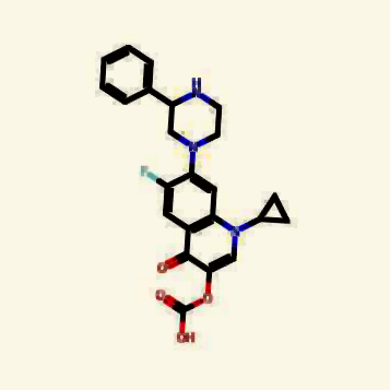 O=C(O)Oc1cn(C2CC2)c2cc(N3CCNC(c4ccccc4)C3)c(F)cc2c1=O